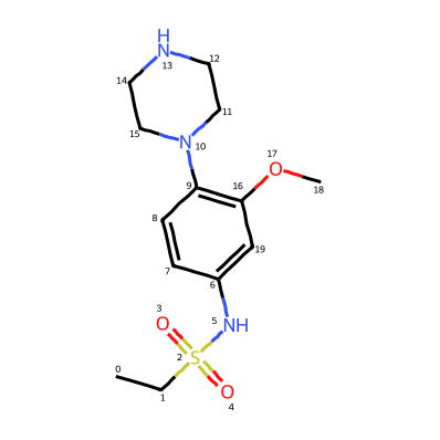 CCS(=O)(=O)Nc1ccc(N2CCNCC2)c(OC)c1